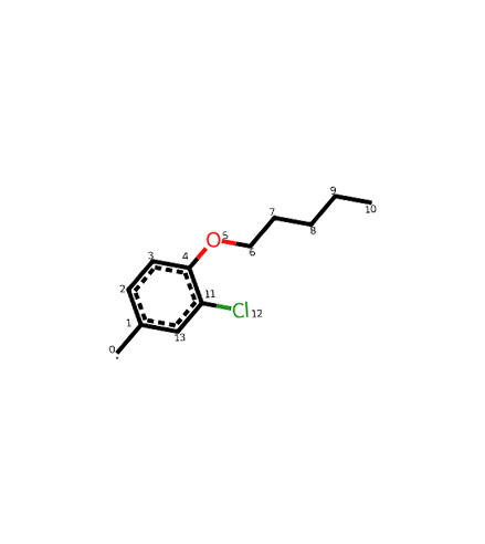 [CH2]c1ccc(OCCCCC)c(Cl)c1